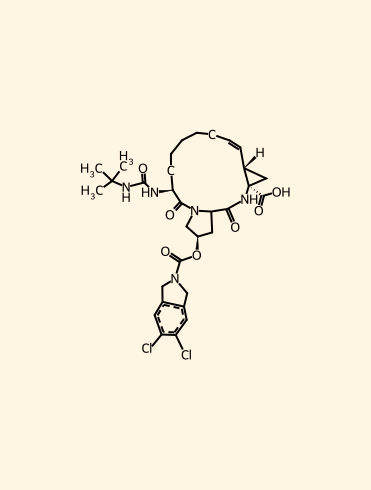 CC(C)(C)NC(=O)N[C@H]1CCCCC/C=C\[C@@H]2C[C@@]2(C(=O)O)NC(=O)C2C[C@@H](OC(=O)N3Cc4cc(Cl)c(Cl)cc4C3)CN2C1=O